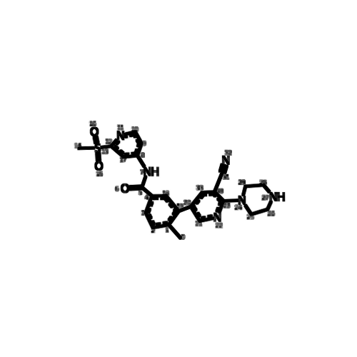 Cc1ccc(C(=O)Nc2ccnc(S(C)(=O)=O)c2)cc1-c1cnc(N2CCNCC2)c(C#N)c1